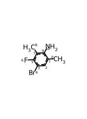 Cc1cc(Br)c(F)c(C)c1N